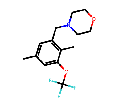 Cc1cc(CN2CCOCC2)c(C)c(OC(F)(F)F)c1